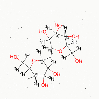 [2H]C([2H])(O)C1([2H])O[C@@]([2H])(C[C@]2([2H])OC([2H])(C([2H])([2H])O)[C@@]([2H])(O)[C@]([2H])(O)C2([2H])O)C([2H])(O)C([2H])(O)[C@]1([2H])C